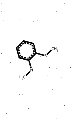 C[N]c1ccccc1SC